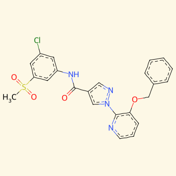 CS(=O)(=O)c1cc(Cl)cc(NC(=O)c2cnn(-c3ncccc3OCc3ccccc3)c2)c1